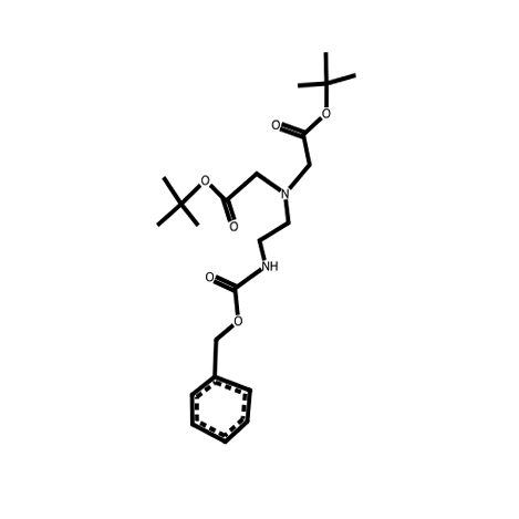 CC(C)(C)OC(=O)CN(CCNC(=O)OCc1ccccc1)CC(=O)OC(C)(C)C